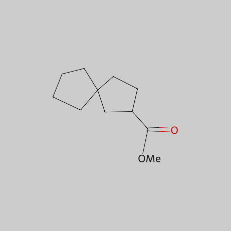 COC(=O)C1CCC2(CCCC2)C1